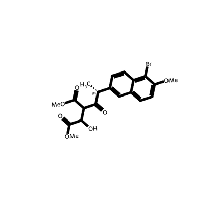 COC(=O)C(O)C(C(=O)OC)C(=O)[C@H](C)c1ccc2c(Br)c(OC)ccc2c1